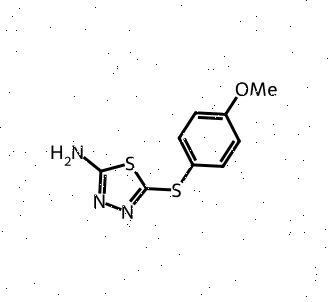 COc1ccc(Sc2nnc(N)s2)cc1